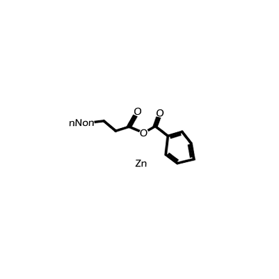 CCCCCCCCCCCC(=O)OC(=O)c1ccccc1.[Zn]